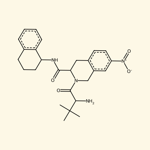 CC(C)(C)C(N)C(=O)N1Cc2cc([N+](=O)[O-])ccc2CC1C(=O)NC1CCCc2ccccc21